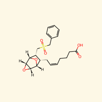 O=C(O)CCC/C=C\C[C@H]1[C@@H](CS(=O)(=O)Cc2ccccc2)[C@@H]2O[C@H]1[C@@H]1O[C@@H]12